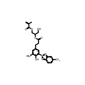 C=C(C)C(=O)OCC(CO)OC(=O)CCc1cc(-n2nc3ccc(C(F)(F)F)cc3n2)c(O)c(C(C)(C)C)c1